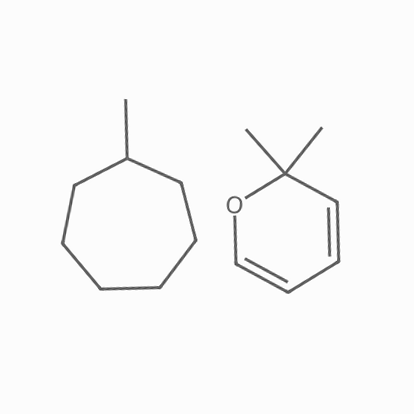 CC1(C)C=CC=CO1.CC1CCCCCC1